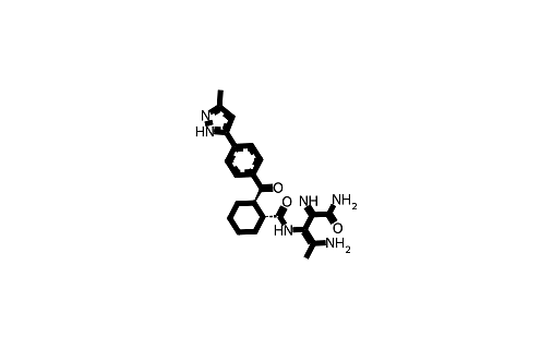 C/C(N)=C(\NC(=O)[C@@H]1CCCC[C@H]1C(=O)c1ccc(-c2cc(C)n[nH]2)cc1)C(=N)C(N)=O